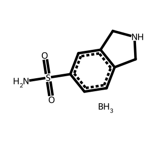 B.NS(=O)(=O)c1ccc2c(c1)CNC2